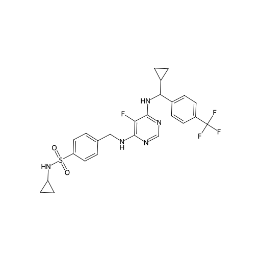 O=S(=O)(NC1CC1)c1ccc(CNc2ncnc(NC(c3ccc(C(F)(F)F)cc3)C3CC3)c2F)cc1